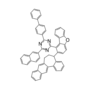 c1ccc(-c2ccc(-c3nc(-c4ccc5ccccc5c4)nc(-c4c(C5CCc6cc7ccccc7cc6-c6ccccc65)ccc5oc6ccccc6c45)n3)cc2)cc1